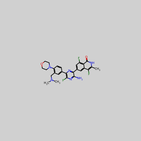 Cc1[nH]c(=O)c2c(F)cc(-c3nc(-c4ccc(N5CCOCC5)c(CN(C)C)c4)c(F)nc3N)cc2c1F